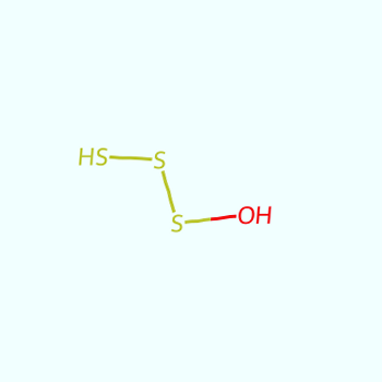 OSSS